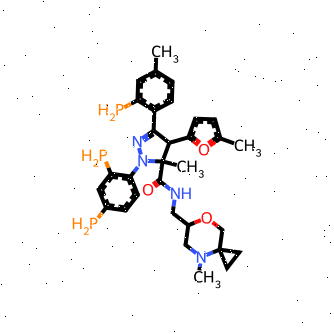 Cc1ccc(C2=NN(c3ccc(P)cc3P)C(C)(C(=O)NCC3CN(C)C4(CC4)CO3)C2c2ccc(C)o2)c(P)c1